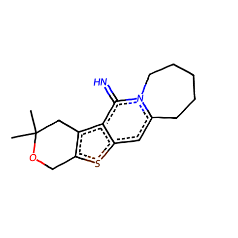 CC1(C)Cc2c(sc3cc4n(c(=N)c23)CCCCC4)CO1